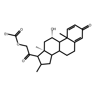 CCC(=O)OCC(=O)C1C(C)CC2C3CCC4=CC(=O)C=CC4(C)C3[C@@H](O)C[C@@]21C